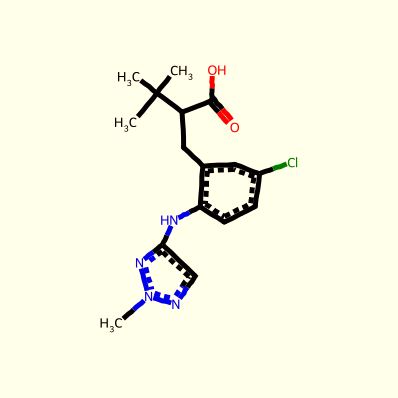 Cn1ncc(Nc2ccc(Cl)cc2CC(C(=O)O)C(C)(C)C)n1